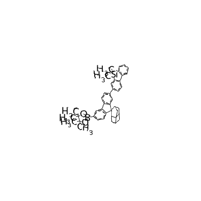 CC1(C)OB(c2ccc3c(c2)-c2ccc(-c4ccc5c(c4)[Si](C)(C)c4ccccc4-5)cc2C32C3CC4CC(C3)CC2C4)OC1(C)C